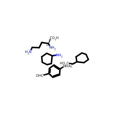 CC(=O)Nc1ccc(C=O)cc1.NC1CCCCC1.NCCC[C@H](N)C(=O)O.O=C(O)CC1CCCCC1